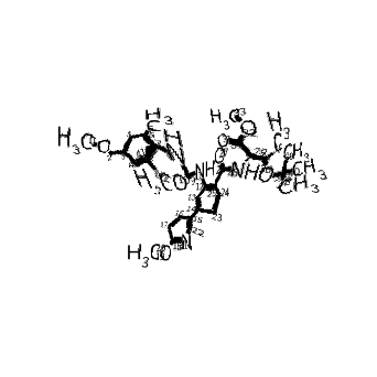 COCc1cc(C)c(NC(=O)Nc2cc(-c3ccc(OC)nc3)ccc2C(=O)N[C@H](C(=O)OC)[C@@H](C)OC(C)(C)C)c(C)c1